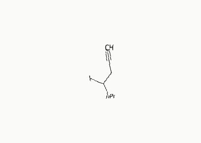 C#CCC(I)CC[CH2]